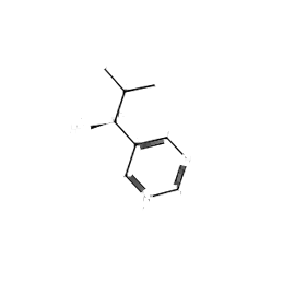 CC(C)[C@H](O)c1cncnc1